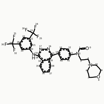 O=CN(CCN1CCOCC1)c1ccc(-c2nnc(Nc3cc(C(F)(F)F)cc(C(F)(F)F)c3)c3ccccc23)cc1